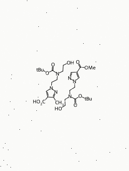 COC(=O)c1cnn(CCN(CCO)C(=O)OC(C)(C)C)c1.Cc1nn(CCN(CCO)C(=O)OC(C)(C)C)cc1C(=O)O